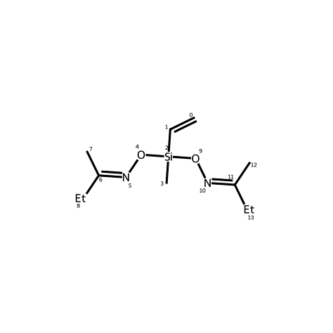 C=C[Si](C)(O/N=C(\C)CC)O/N=C(\C)CC